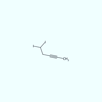 CC#CCC(I)I